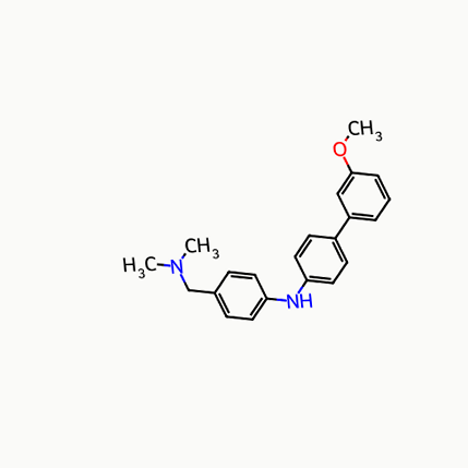 COc1cccc(-c2ccc(Nc3ccc(CN(C)C)cc3)cc2)c1